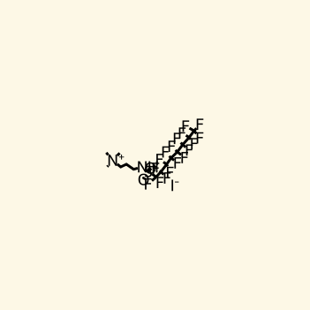 C[N+](C)(C)CCCNS(=O)(=O)C(F)(F)C(F)(F)C(F)(F)C(F)(F)C(F)(F)C(F)(F)C(F)(F)C(F)(F)F.[I-]